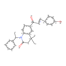 CC(c1ccccc1)N1C(=O)CC(C)(C)c2cc(C(=O)/C=C/c3ccc(Br)cc3)ccc21